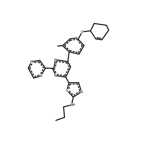 CCCNc1ncc(-c2cc(-c3ccc(OC4C=CCCC4)cc3C)nc(-c3cnccn3)n2)s1